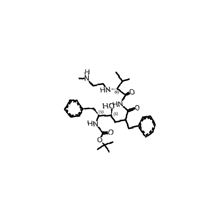 CNCCN[C@@H](C(=O)NC(=O)C(Cc1ccccc1)C[C@H](O)[C@H](Cc1ccccc1)NC(=O)OC(C)(C)C)C(C)C